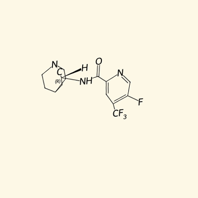 O=C(N[C@@H]1CC2CCN(CC2)C1)c1cc(C(F)(F)F)c(F)cn1